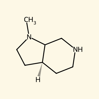 CN1CC[C@@H]2CCNCC21